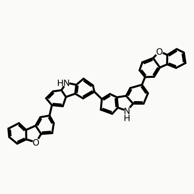 C1=CC2Nc3ccc(-c4ccc5[nH]c6ccc(-c7ccc8oc9ccccc9c8c7)cc6c5c4)cc3C2C=C1c1ccc2oc3ccccc3c2c1